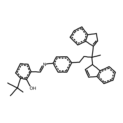 CC(C)(C)c1cccc(/C=N/c2ccc(CCC(C)(C3=CCc4ccccc43)C3C=Cc4ccccc43)cc2)c1O